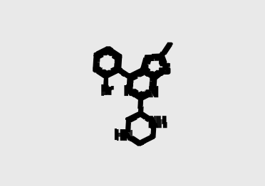 Cc1cc2c(-c3ccccc3Br)nc(C3CNCCN3)nc2s1